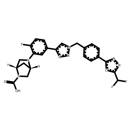 O=C(O)N1C[C@@H]2C[C@H]1CN2c1cc(-c2cn(Cc3ccc(-c4nnc(C(F)F)o4)cc3)nn2)ccc1F